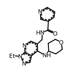 CCn1ncc2c(NC3CCOCC3)c(CNC(=O)c3cccnc3)cnc21